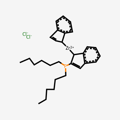 CCCCCCP(CCCCCC)C1=Cc2ccccc2[CH]1[Zr+2][CH]1C=Cc2ccccc21.[Cl-].[Cl-]